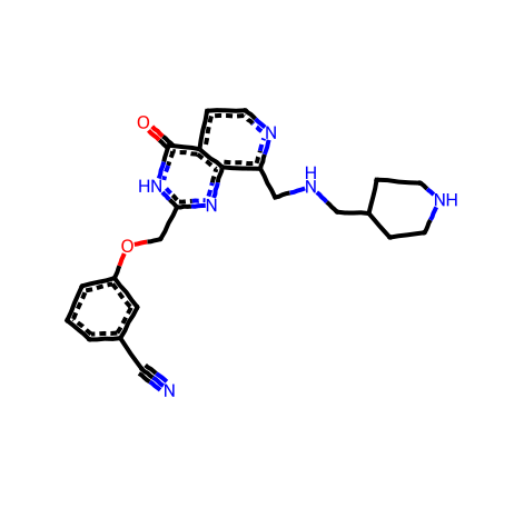 N#Cc1cccc(OCc2nc3c(CNCC4CCNCC4)nccc3c(=O)[nH]2)c1